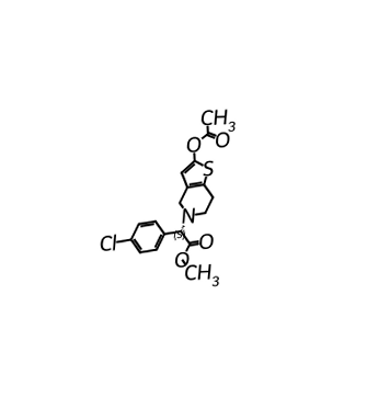 COC(=O)[C@H](c1ccc(Cl)cc1)N1CCc2sc(OC(C)=O)cc2C1